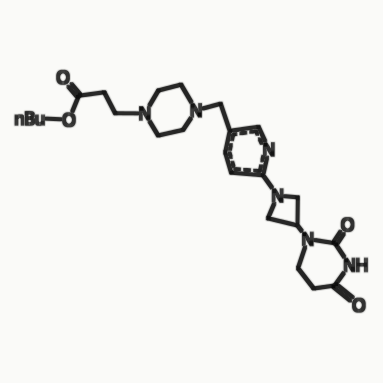 CCCCOC(=O)CCN1CCN(Cc2ccc(N3CC(N4CCC(=O)NC4=O)C3)nc2)CC1